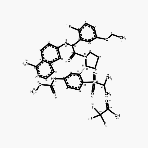 CCOc1ccc(F)c([C@H](Nc2ccc3c(N)nccc3c2)C(=O)N2CCC[C@@H]2c2cc(NC(=O)OC)ccc2S(=O)(=O)C(C)C)c1.O=C(O)C(F)(F)F